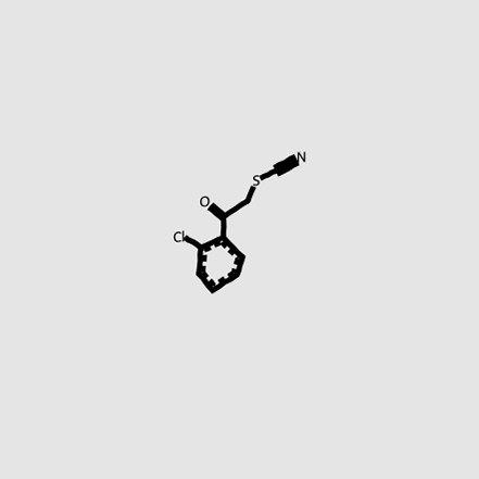 N#CSCC(=O)c1ccccc1Cl